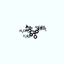 CCOC(=O)c1c(C2=Cc3cc(OC)ccc3-c3c(C4CCCCC4)c4ccc(C(=O)OC(C)(C)C)cc4n3C2)ncn1C1CC1